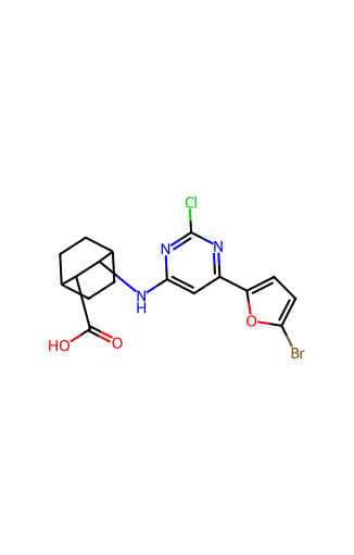 O=C(O)C1C2CCC(CC2)C1Nc1cc(-c2ccc(Br)o2)nc(Cl)n1